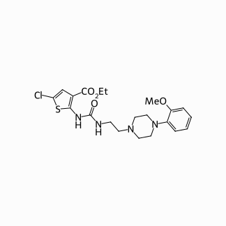 CCOC(=O)c1cc(Cl)sc1NC(=O)NCCN1CCN(c2ccccc2OC)CC1